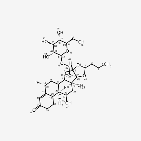 CCCC1O[C@H]2CC3C4C[C@@H](F)C5=CC(=O)CC[C@]5(C)[C@]4(F)[C@H](O)C[C@]3(C)[C@]2(C(=O)CO[C@@H]2O[C@H](CO)[C@@H](O)[C@H](O)[C@H]2O)O1